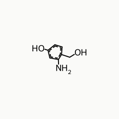 Nc1cc(O)ccc1CO